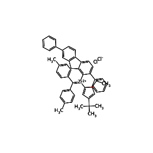 CCC1C=C(C(C)(C)C)C=[C]1[Zr+2](=[C](c1ccc(C)cc1)c1ccc(C)cc1)[c]1c(-c2ccccc2)ccc2c1Cc1cc(-c3ccccc3)ccc1-2.[Cl-].[Cl-]